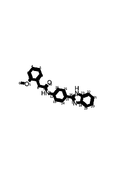 COc1ccccc1CC(=O)Nc1ccc(-c2nc3ccccc3[nH]2)cc1